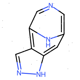 C1=NC=C2C=c3[nH]ncc3=C1N2